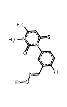 CCON=Cc1cc(-n2c(=S)cc(C(F)(F)F)n(C)c2=O)ccc1Cl